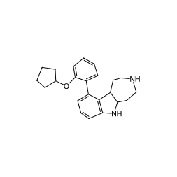 c1ccc(-c2cccc3c2C2CCNCCC2N3)c(OC2CCCC2)c1